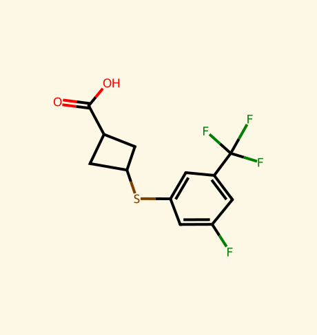 O=C(O)C1CC(Sc2cc(F)cc(C(F)(F)F)c2)C1